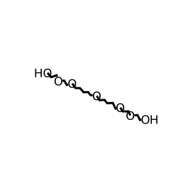 OCCOCCOCCCCCOCCCCCOCCOCCO